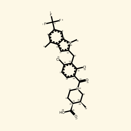 Cc1cc(C(F)(F)F)cc2c1cc(Cc1c(Cl)ccc(C(=O)N3CC[C@H](C(=O)O)[C@H](C)C3)c1Cl)n2C